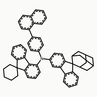 c1ccc2c(c1)-c1c(N(c3ccc(-c4cccc5ccccc45)cc3)c3ccc4c(c3)-c3ccccc3C43C4CC5CC(C4)CC3C5)cccc1C21CCCCC1